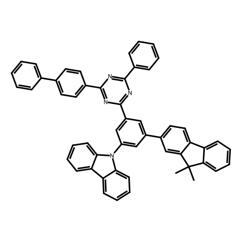 CC1(C)c2ccccc2-c2ccc(-c3cc(-c4nc(-c5ccccc5)nc(-c5ccc(-c6ccccc6)cc5)n4)cc(-n4c5ccccc5c5ccccc54)c3)cc21